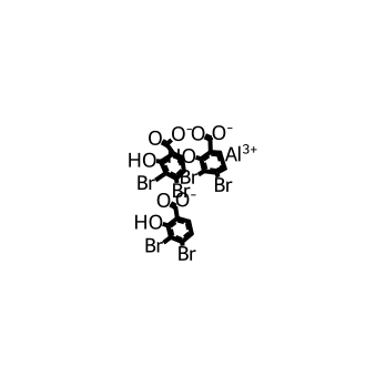 O=C([O-])c1ccc(Br)c(Br)c1O.O=C([O-])c1ccc(Br)c(Br)c1O.O=C([O-])c1ccc(Br)c(Br)c1O.[Al+3]